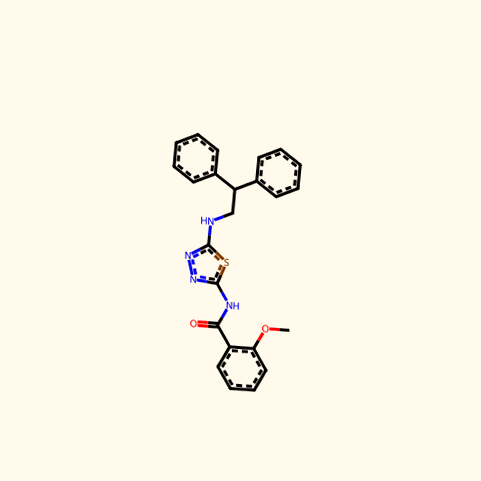 COc1ccccc1C(=O)Nc1nnc(NCC(c2ccccc2)c2ccccc2)s1